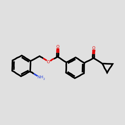 Nc1ccccc1COC(=O)c1cccc(C(=O)C2CC2)c1